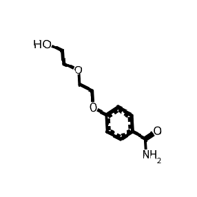 NC(=O)c1ccc(OCCOCCO)cc1